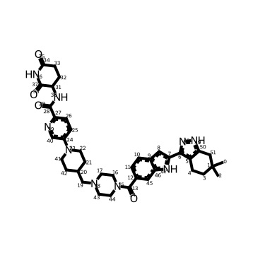 CC1(C)CCc2c(-c3cc4ccc(C(=O)N5CCN(CC6CCN(c7ccc(C(=O)NC8CCC(=O)NC8=O)nc7)CC6)CC5)cc4[nH]3)n[nH]c2C1